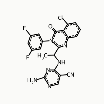 CC(Nc1nc(N)ncc1C#N)c1nc2cccc(Cl)c2c(=O)n1-c1cc(F)cc(F)c1